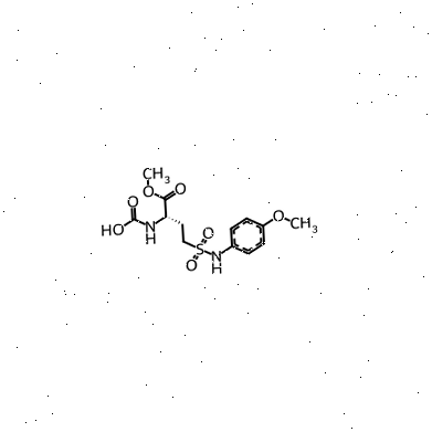 COC(=O)[C@H](CCS(=O)(=O)Nc1ccc(OC)cc1)NC(=O)O